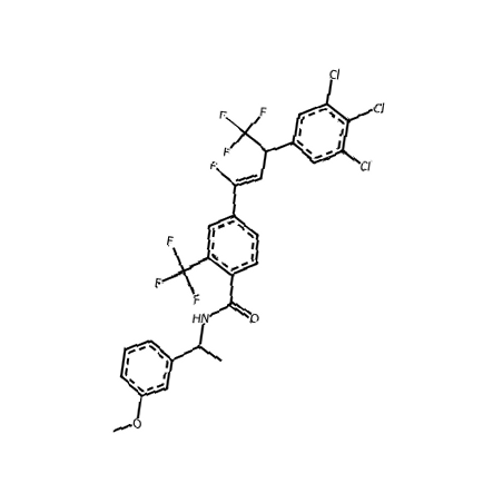 COc1cccc(C(C)NC(=O)c2ccc(/C(F)=C/C(c3cc(Cl)c(Cl)c(Cl)c3)C(F)(F)F)cc2C(F)(F)F)c1